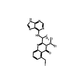 CCN(CC)n1c(C(C)Nc2ncnc3[nH]cnc23)nc2cccc(CI)c2c1=O